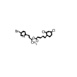 CC(/C=C/c1ccc(Br)cn1)OC(=O)/C=C/C=C/c1ccc(Cl)cc1Cl